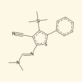 CN(C)C=Nc1sc(-c2ccccc2)c([Si](C)(C)C)c1C#N